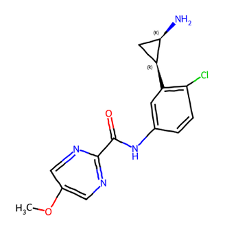 COc1cnc(C(=O)Nc2ccc(Cl)c([C@H]3C[C@H]3N)c2)nc1